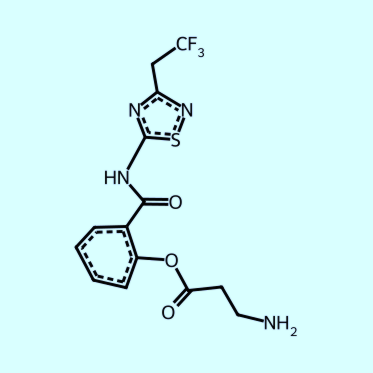 NCCC(=O)Oc1ccccc1C(=O)Nc1nc(CC(F)(F)F)ns1